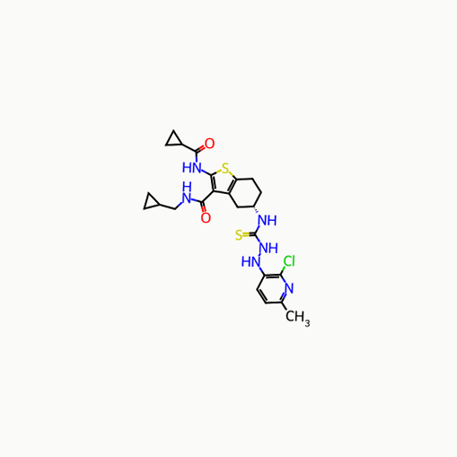 Cc1ccc(NNC(=S)N[C@H]2CCc3sc(NC(=O)C4CC4)c(C(=O)NCC4CC4)c3C2)c(Cl)n1